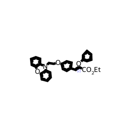 CCOC(=O)/C(=C/c1ccc(OCCN2c3ccccc3Oc3ccccc32)cc1)Oc1ccccc1